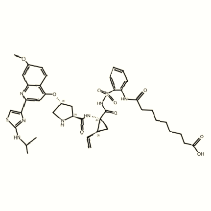 C=C[C@@H]1C[C@]1(NC(=O)[C@@H]1C[C@@H](Oc2cc(-c3csc(NC(C)C)n3)nc3cc(OC)ccc23)CN1)C(=O)NS(=O)(=O)c1ccccc1NC(=O)CCCCCCCC(=O)O